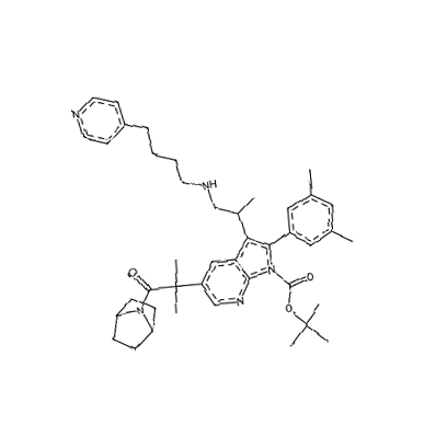 Cc1cc(C)cc(-c2c(C(C)CNCCCCc3ccncc3)c3cc(C(C)(C)C(=O)N4C5CCC4CC5)cnc3n2C(=O)OC(C)(C)C)c1